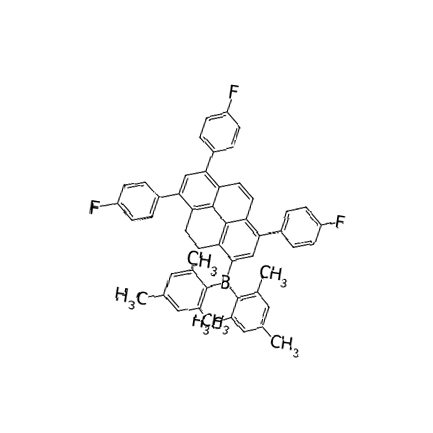 Cc1cc(C)c(B(c2cc(-c3ccc(F)cc3)c3ccc4c(-c5ccc(F)cc5)cc(-c5ccc(F)cc5)c5c4c3c2CC5)c2c(C)cc(C)cc2C)c(C)c1